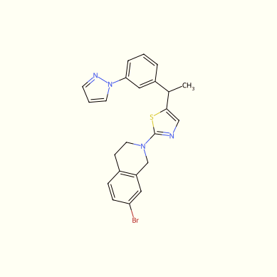 CC(c1cccc(-n2cccn2)c1)c1cnc(N2CCc3ccc(Br)cc3C2)s1